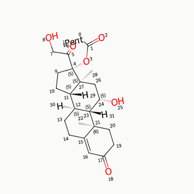 CCCC(C)C(=O)O[C@@]1(C(=O)CO)CC[C@H]2[C@@H]3CCC4=CC(=O)CC[C@]4(C)[C@H]3[C@@H](O)C[C@@]21C